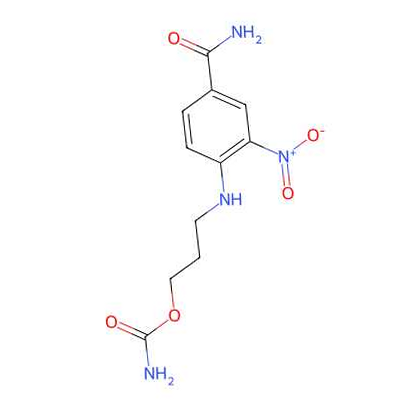 NC(=O)OCCCNc1ccc(C(N)=O)cc1[N+](=O)[O-]